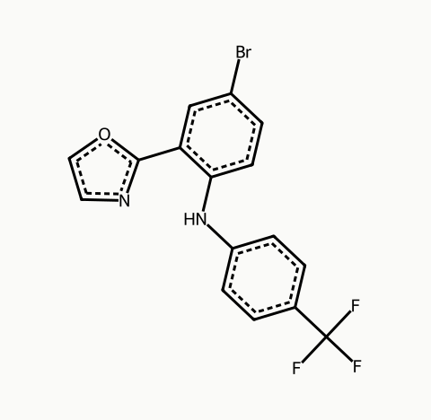 FC(F)(F)c1ccc(Nc2ccc(Br)cc2-c2ncco2)cc1